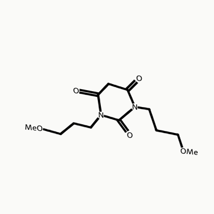 COCCCN1C(=O)CC(=O)N(CCCOC)C1=O